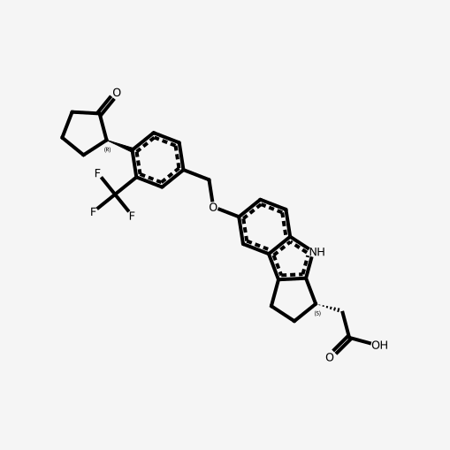 O=C(O)C[C@@H]1CCc2c1[nH]c1ccc(OCc3ccc([C@H]4CCCC4=O)c(C(F)(F)F)c3)cc21